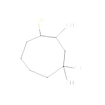 CC1CC(C)(C)CCCCC1S